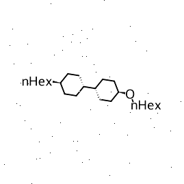 CCCCCCO[C@H]1CC[C@H]([C@H]2CC[C@H](CCCCCC)CC2)CC1